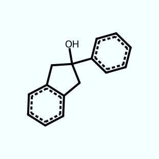 OC1(c2ccccc2)Cc2ccccc2C1